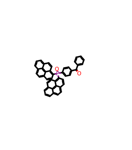 O=C(c1ccccc1)c1ccc(P(=O)(c2ccc3ccc4cccc5ccc2c3c45)c2ccc3ccc4cccc5ccc2c3c45)cc1